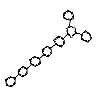 c1ccc(-c2ccc(-c3ccc(-c4ccc(-c5ccc(-c6nc(-c7ccccc7)nc(-c7ccccc7)n6)cc5)cc4)cc3)cc2)cc1